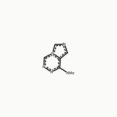 CNc1nncn2cncc12